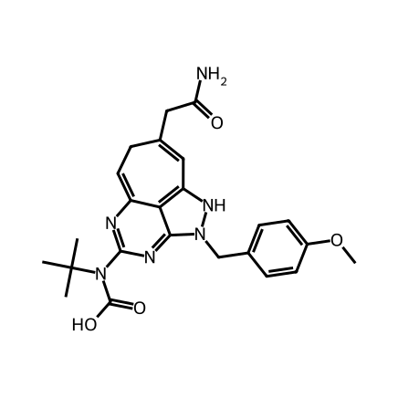 COc1ccc(CN2NC3=c4c2nc(N(C(=O)O)C(C)(C)C)nc4=CCC(CC(N)=O)=C3)cc1